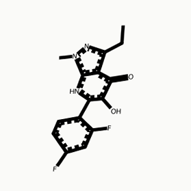 CCc1nn(C)c2[nH]c(-c3ccc(F)cc3F)c(O)c(=O)c12